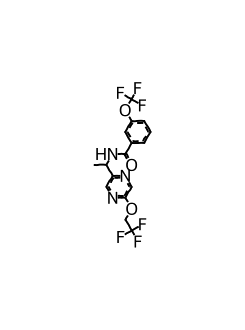 CC(NC(=O)c1cccc(OC(F)(F)F)c1)c1cnc(OCC(F)(F)F)cn1